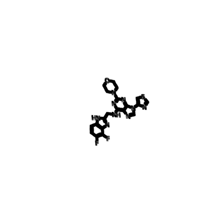 Fc1ccc2[nH]c(CNc3nc(N4CCOCC4)nc4c3ncn4-c3cscn3)nc2c1F